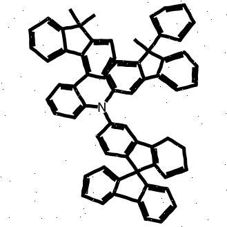 CC1(C)c2ccccc2-c2c(-c3ccccc3N(c3ccc4c(c3)C3=C(C=CCC3)C43c4ccccc4-c4ccccc43)c3ccc4c(c3)-c3ccccc3C4(C)c3ccccc3)cccc21